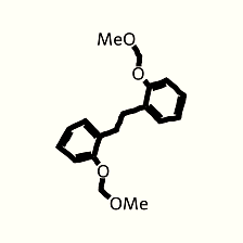 COCOc1ccccc1CCc1ccccc1OCOC